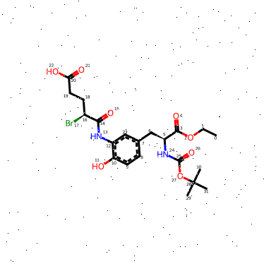 CCOC(=O)[C@H](Cc1ccc(O)c(NC(=O)[C@@H](Br)CCC(=O)O)c1)NC(=O)OC(C)(C)C